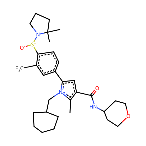 Cc1c(C(=O)NC2CCOCC2)cc(-c2ccc([S+]([O-])N3CCCC3(C)C)c(C(F)(F)F)c2)n1CC1CCCCC1